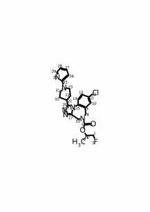 C[C@@H](CF)OC(=O)N1Cc2cc(Cl)ccc2-n2c(nnc2C2CCN(c3ccccn3)CC2)C1